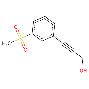 CS(=O)(=O)c1cccc(C#CCO)c1